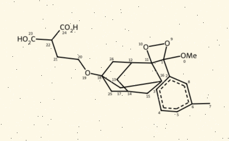 COC1(c2cccc(C)c2)OOC12C1CC3CC2CC(OCCC(C(=O)O)C(=O)O)(C3)C1